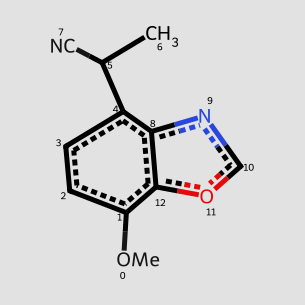 COc1ccc(C(C)C#N)c2ncoc12